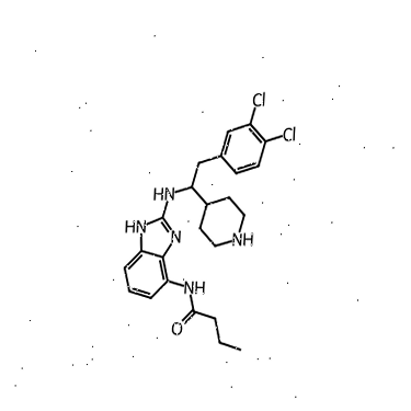 CCCC(=O)Nc1cccc2[nH]c(NC(Cc3ccc(Cl)c(Cl)c3)C3CCNCC3)nc12